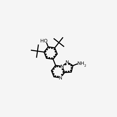 CC(C)(C)c1cc(-c2ccnc3cc(N)nn23)cc(C(C)(C)C)c1O